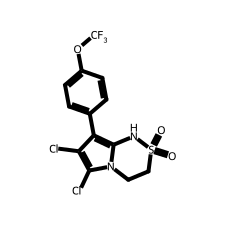 O=S1(=O)CCn2c(Cl)c(Cl)c(-c3ccc(OC(F)(F)F)cc3)c2N1